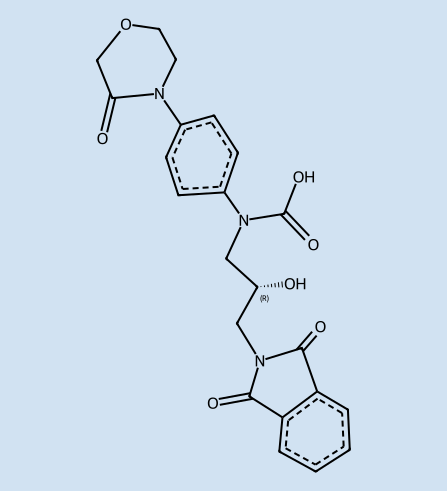 O=C1c2ccccc2C(=O)N1C[C@@H](O)CN(C(=O)O)c1ccc(N2CCOCC2=O)cc1